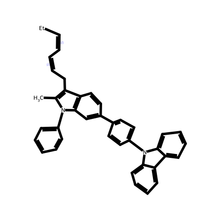 CC/C=C\C=C/Cc1c(C)n(-c2ccccc2)c2cc(-c3ccc(-n4c5ccccc5c5ccccc54)cc3)ccc12